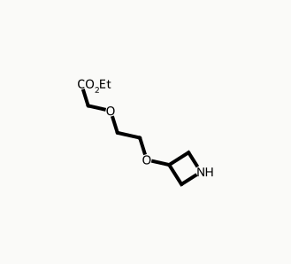 CCOC(=O)COCCOC1CNC1